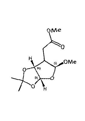 COC(=O)CC1[C@@H](OC)O[C@@H]2OC(C)(C)O[C@H]12